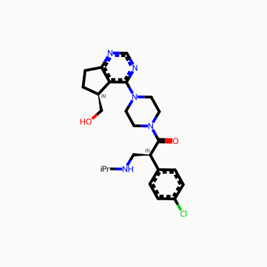 CC(C)NC[C@@H](C(=O)N1CCN(c2ncnc3c2[C@@H](CO)CC3)CC1)c1ccc(Cl)cc1